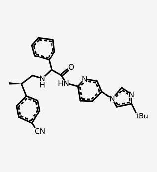 C[C@@H](CNC(C(=O)Nc1ccc(-n2cnc(C(C)(C)C)c2)cn1)c1ccccc1)c1ccc(C#N)cc1